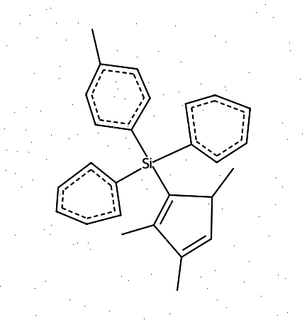 CC1=CC(C)C([Si](c2ccccc2)(c2ccccc2)c2ccc(C)cc2)=C1C